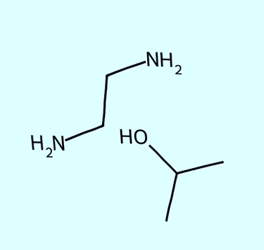 CC(C)O.NCCN